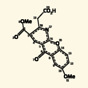 COC(=O)c1cc2c(=O)c3cc(OC)ccc3oc2nc1CC(=O)O